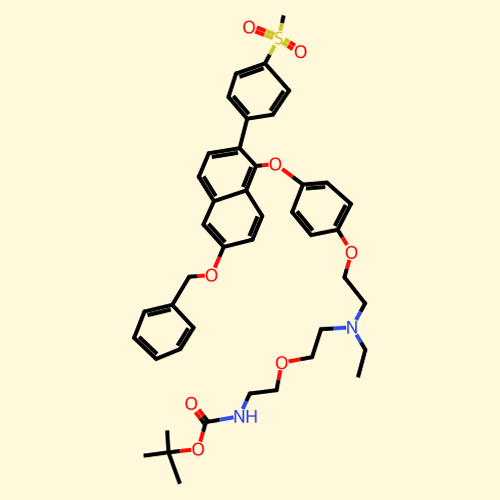 CCN(CCOCCNC(=O)OC(C)(C)C)CCOc1ccc(Oc2c(-c3ccc(S(C)(=O)=O)cc3)ccc3cc(OCc4ccccc4)ccc23)cc1